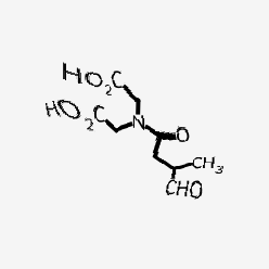 CC(C=O)CC(=O)N(CC(=O)O)CC(=O)O